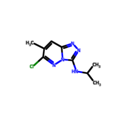 Cc1cc2nnc(NC(C)C)n2nc1Cl